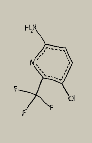 Nc1ccc(Cl)c(C(F)(F)F)n1